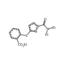 CCOC(=O)c1ccccc1Sc1ccn(C(=O)N(CC)CC)n1